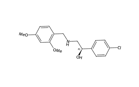 COc1ccc(CNC[C@H](O)c2ccc(Cl)cc2)c(OC)c1